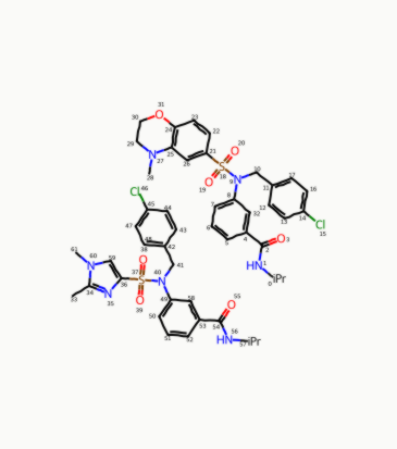 CC(C)NC(=O)c1cccc(N(Cc2ccc(Cl)cc2)S(=O)(=O)c2ccc3c(c2)N(C)CCO3)c1.Cc1nc(S(=O)(=O)N(Cc2ccc(Cl)cc2)c2cccc(C(=O)NC(C)C)c2)cn1C